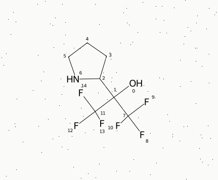 OC(C1CCCN1)(C(F)(F)F)C(F)(F)F